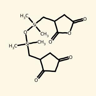 C[Si](C)(CC1CC(=O)CC1=O)O[Si](C)(C)CC1CC(=O)OC1=O